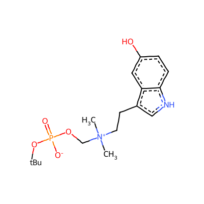 CC(C)(C)OP(=O)([O-])OC[N+](C)(C)CCc1c[nH]c2ccc(O)cc12